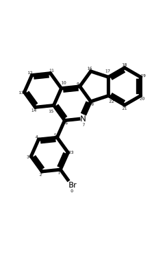 Brc1cccc(-c2nc3c(c4ccccc24)Cc2ccccc2-3)c1